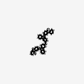 c1ccc2c(c1)oc1ccc(-n3c4ccccc4c4cc(Sc5ccc6c(c5)c5ccccc5n6-c5ccc6sc7cccnc7c6c5)ccc43)cc12